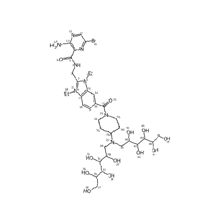 CCn1c(CNC(=O)c2nc(Br)cnc2N)[n+](CC)c2ccc(C(=O)N3CCC(N(CC(O)C(O)C(O)C(O)CO)CC(O)C(O)C(O)C(O)CO)CC3)cc21